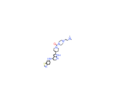 CN(C)CCN1CCN(C(=O)N2CC=C(c3cc4c(Nc5ccc6ncsc6c5)ccnc4[nH]3)CC2)CC1